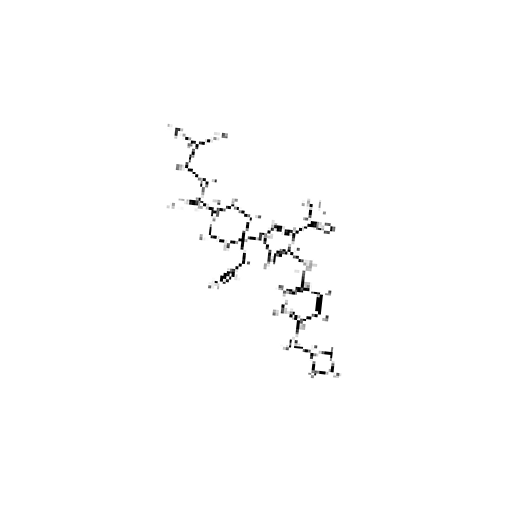 N#CCC1(n2cc(C(N)=O)c(Nc3ccc(OC4CCC4)nc3)n2)CCN(C(=O)OCC(F)F)CC1